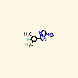 Cc1cc(-c2[c]nc3c(N4CCC4)ccnn23)cc(C)c1F